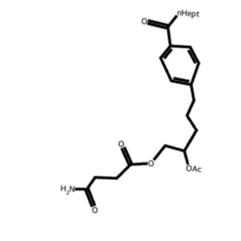 CCCCCCCC(=O)c1ccc(CCCC(COC(=O)CCC(N)=O)OC(C)=O)cc1